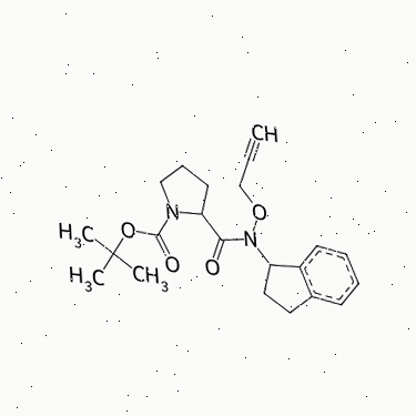 C#CCON(C(=O)C1CCCN1C(=O)OC(C)(C)C)C1CCc2ccccc21